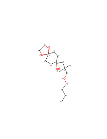 CCCCOCC(C)(C)CC1(O)CCC2(CC1)OCCO2